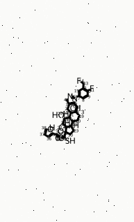 C[C@]12Cc3cnn(-c4ccc(F)c(CF)c4)c3C=C1CC[C@@H]1[C@@H]2[C@@H](O)C[C@@]2(C)[C@H]1CC[C@]2(OC(=O)c1ccco1)C(=O)S